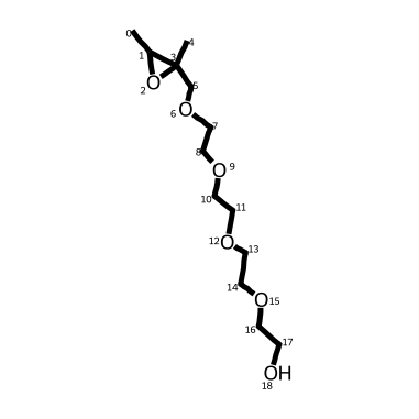 CC1OC1(C)COCCOCCOCCOCCO